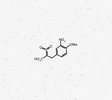 COc1ccc(CC(C(=O)O)=S(=O)=O)cc1[N+](=O)[O-]